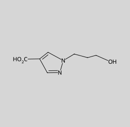 O=C(O)c1cnn(CCCO)c1